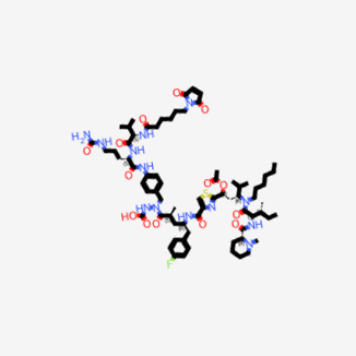 CCCCCCN(C(=O)[C@@H](NC(=O)[C@H]1CCCCN1C)[C@H](C)CC)[C@H](C[C@@H](OC(C)=O)c1nc(C(=O)N[C@@H](Cc2ccc(F)cc2)C[C@H](C)C(=O)N(Cc2ccc(NC(=O)[C@H](CCCNC(N)=O)NC(=O)[C@@H](NC(=O)CCCCCN3C(=O)C=CC3=O)C(C)C)cc2)NC(=O)O)cs1)C(C)C